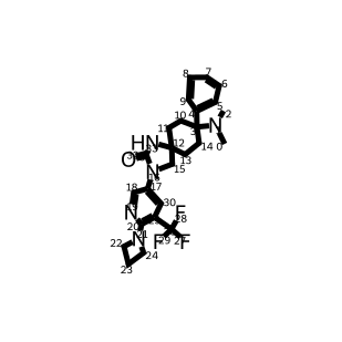 CN(C)C1(c2ccccc2)CCC2(CC1)CN(c1cnc(N3CCC3)c(C(F)(F)F)c1)C(=O)N2